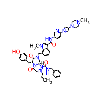 C=CCN1CC(=O)N2[C@@H](Cc3ccc(O)cc3)C(=O)N(Cc3cccc4c(C(=O)Nc5ccc(N6CC(N7CCN(C)CC7)C6)nc5)cn(C)c34)C[C@@H]2N1C(=O)NCc1ccccc1